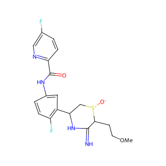 COCCC1C(=N)NC(c2cc(NC(=O)c3ccc(F)cn3)ccc2F)C[S+]1[O-]